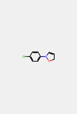 Clc1ccc(N2C=CCO2)cc1